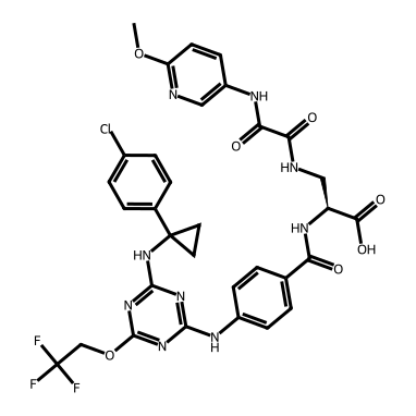 COc1ccc(NC(=O)C(=O)NC[C@H](NC(=O)c2ccc(Nc3nc(NC4(c5ccc(Cl)cc5)CC4)nc(OCC(F)(F)F)n3)cc2)C(=O)O)cn1